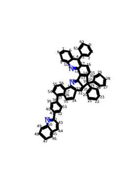 c1ccc(-c2c3ccccc3nc3c4c(ccc23)C(c2ccccc2)(c2ccccc2)c2cc3ccc5c(-c6ccc(-c7ccc8ccccc8n7)cc6)cccc5c3nc2-4)cc1